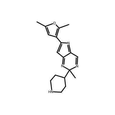 Cc1cc(C2=CC3=NC(C)(C4CCNCC4)N=CC3=N2)c(C)o1